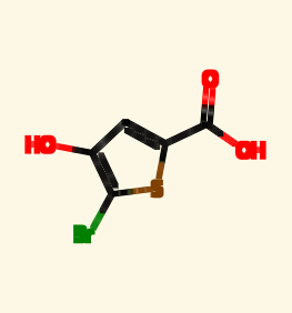 O=C(O)c1cc(O)c(Br)s1